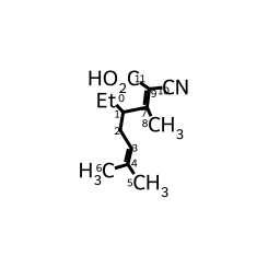 CCC(CC=C(C)C)C(C)=C(C#N)C(=O)O